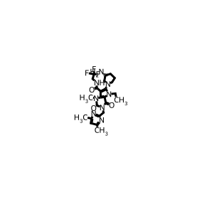 CCn1c(N2CCC[C@@H](N)C2)c(C(=O)NCC(F)(F)F)c2c1c(=O)n(Cc1nc(C)cc(C)n1)c(=O)n2C